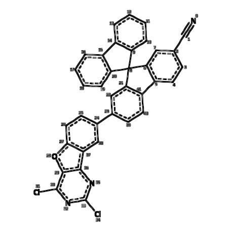 N#Cc1ccc2c(c1)C1(c3ccccc3-c3ccccc31)c1cc(-c3ccc4oc5c(Cl)nc(Cl)nc5c4c3)ccc1-2